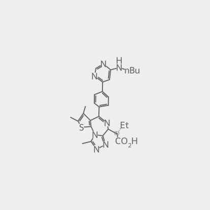 CCCCNc1cc(-c2ccc(C3=NC([C@H](CC)C(=O)O)c4nnc(C)n4-c4sc(C)c(C)c43)cc2)ncn1